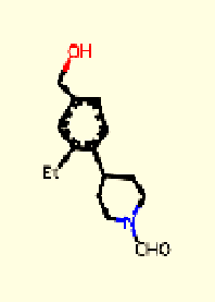 CCc1cc(CO)ccc1C1CCN(C=O)CC1